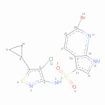 O=S(=O)(Nc1nsc(C2CC2)c1Cl)c1c[nH]c2nc(Br)ccc12